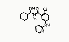 O=C(NC(O)C1CCCCC1)c1cc(Nc2ccccn2)ccc1Cl